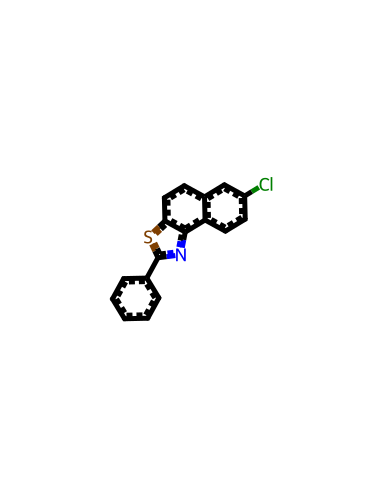 Clc1ccc2c(ccc3sc(-c4ccccc4)nc32)c1